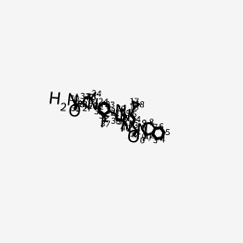 C[C@@H]1c2ccccc2CCN1C(=O)c1cc(C2CC2)n2nc(-c3ccc(N4C[C@@H](C(N)=O)C[C@H]4C)cc3F)cc2n1